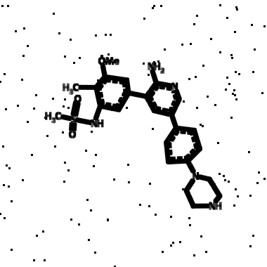 COc1cc(-c2cc(-c3ccc(N4CCNCC4)cc3)cnc2N)cc(NS(C)(=O)=O)c1C